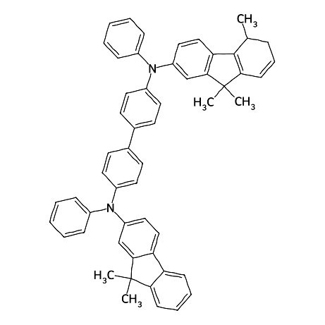 CC1CC=CC2=C1c1ccc(N(c3ccccc3)c3ccc(-c4ccc(N(c5ccccc5)c5ccc6c(c5)C(C)(C)c5ccccc5-6)cc4)cc3)cc1C2(C)C